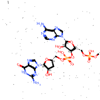 COP(=O)(O)OC[C@H]1O[C@@H](n2cnc3c(N)ncnc32)[C@H](O)[C@@H]1OP(=O)(O)OC[C@@H]1C[C@@H](O)[C@H](n2cnc3c(=O)[nH]c(N)nc32)O1